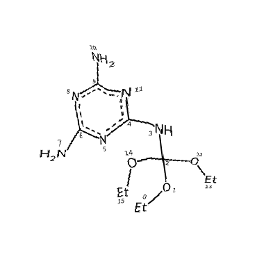 CCOC(Nc1nc(N)nc(N)n1)(OCC)OCC